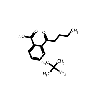 CC(C)(C)N.CCCCC(=O)c1ccccc1C(=O)O